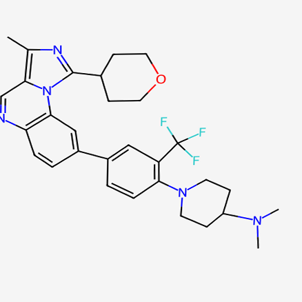 Cc1nc(C2CCOCC2)n2c1cnc1ccc(-c3ccc(N4CCC(N(C)C)CC4)c(C(F)(F)F)c3)cc12